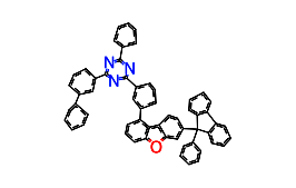 c1ccc(-c2cccc(-c3nc(-c4ccccc4)nc(-c4cccc(-c5cccc6oc7cc(C8(c9ccccc9)c9ccccc9-c9ccccc98)ccc7c56)c4)n3)c2)cc1